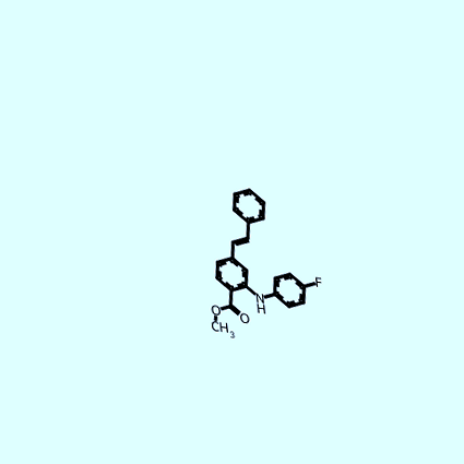 COC(=O)c1ccc(C=Cc2ccccc2)cc1Nc1ccc(F)cc1